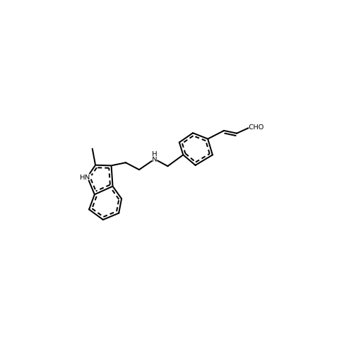 Cc1[nH]c2ccccc2c1CCNCc1ccc(/C=C/C=O)cc1